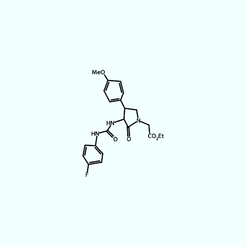 CCOC(=O)CN1CC(c2ccc(OC)cc2)C(NC(=O)Nc2ccc(F)cc2)C1=O